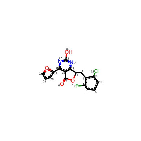 O=C1OC(Cc2c(F)cccc2Cl)c2nc(O)nc(-c3ccco3)c21